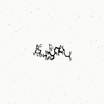 CC(=O)N1C[C@H](F)[C@H](Nc2nc(N)c3c(-c4ccc5ncn(CC(F)F)c5n4)ccn3n2)C1